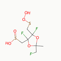 CC1(CF)OC(F)(CSOO)C(F)(CS(=O)O)O1